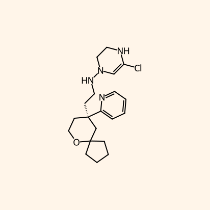 ClC1=CN(NCC[C@@]2(c3ccccn3)CCOC3(CCCC3)C2)CCN1